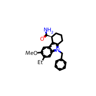 CCc1cc2c(cc1OC)c1c(n2Cc2ccccc2)CCC[C@@H]1C(N)=O